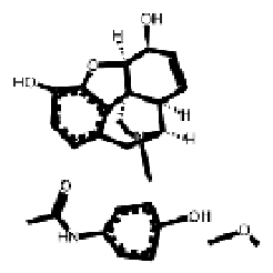 CC(=O)Nc1ccc(O)cc1.CN1CC[C@]23c4c5ccc(O)c4O[C@H]2[C@@H](O)C=C[C@H]3[C@H]1C5.COC